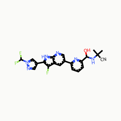 CC(C)(C#N)NC(O)c1cccc(-c2cnc3[nH]c(-c4cnn(C(F)F)c4)c(F)c3c2)n1